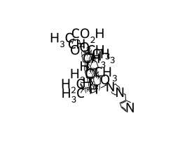 C=C(C)[C@@H]1CC[C@]2(CC(=O)N3CCN(Cc4cccnc4)CC3)CC[C@]3(C)[C@H](CC[C@@H]4[C@@]5(C)CC[C@H](OC(=O)CC(C)(C)C(=O)O)C(C)(C)[C@@H]5CC[C@]43C)[C@@H]12